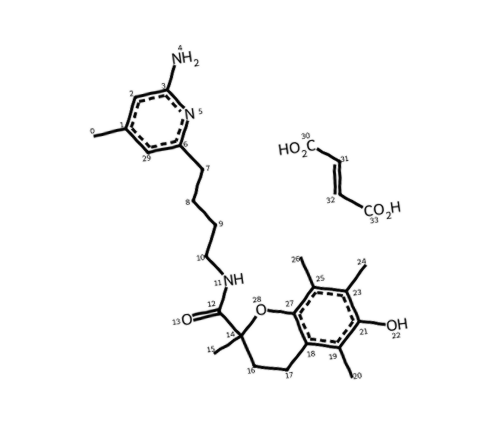 Cc1cc(N)nc(CCCCNC(=O)C2(C)CCc3c(C)c(O)c(C)c(C)c3O2)c1.O=C(O)/C=C/C(=O)O